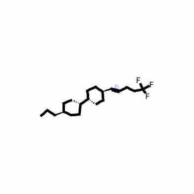 CCC[C@H]1CC[C@H]([C@H]2CC[C@H](/C=C/CCC(F)(F)F)CC2)CC1